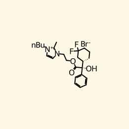 CCCC[n+]1ccn(CCOC(=O)[C@](O)(c2ccccc2)[C@H]2CCCC(F)(F)C2)c1C.[Br-]